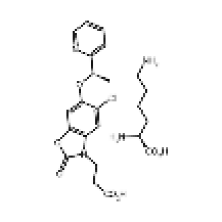 C[C@@H](Oc1cc2oc(=O)n(CCC(=O)O)c2cc1Cl)c1ccccn1.NCCCC[C@H](N)C(=O)O